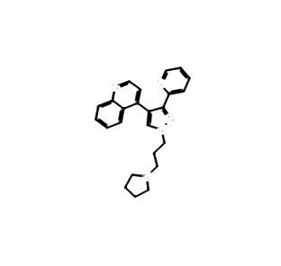 c1ccc(-c2nn(CCCN3CCCC3)cc2-c2ccnc3ccccc23)nc1